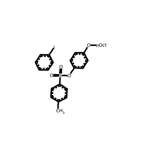 CCCCCCCCOc1ccc(OS(=O)(=O)c2ccc(C)cc2)cc1.Ic1ccccc1